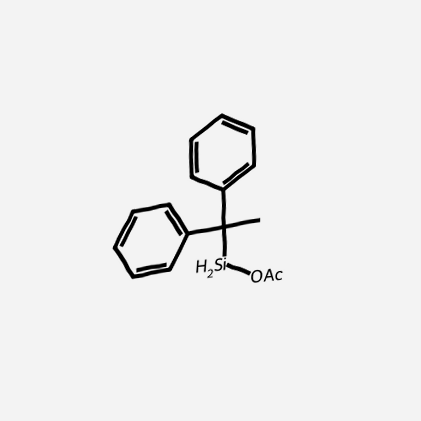 CC(=O)O[SiH2]C(C)(c1ccccc1)c1ccccc1